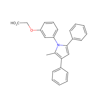 Cc1c(-c2ccccc2)cc(-c2ccccc2)n1-c1cccc(OCC(=O)O)c1